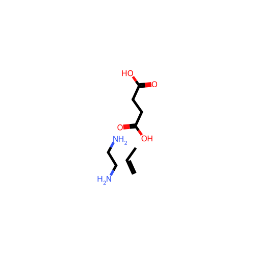 C=CC.NCCN.O=C(O)CCC(=O)O